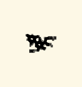 Cc1cc(C)c(-c2cc(C)c(F)c(C(N)CC(=O)O)c2F)c(F)c1.Cl